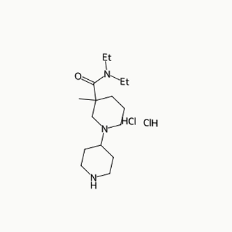 CCN(CC)C(=O)C1(C)CCCN(C2CCNCC2)C1.Cl.Cl